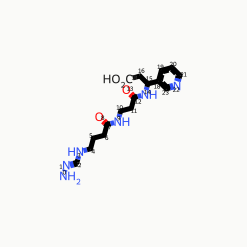 NN=CNCCCC(=O)NCCC(=O)NC(CC(=O)O)c1cccnc1